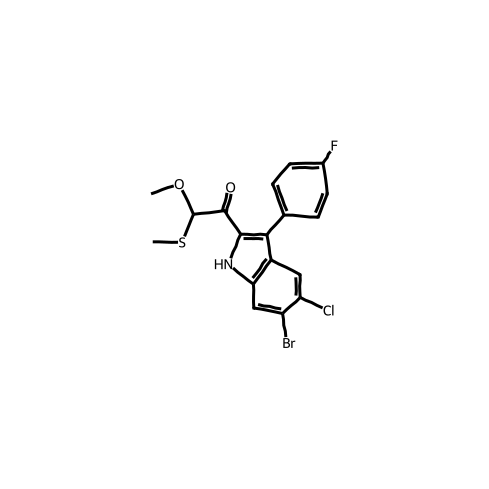 COC(SC)C(=O)c1[nH]c2cc(Br)c(Cl)cc2c1-c1ccc(F)cc1